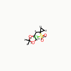 CC1(C)OCC(CC2(S(=O)(=O)Cl)CC2)O1